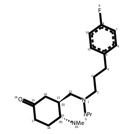 CCCN(CCCc1ccc(F)cc1)C[C@@H]1CC(=O)CC[C@H]1NC